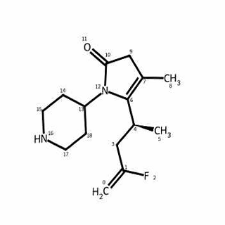 C=C(F)C[C@H](C)C1=C(C)CC(=O)N1C1CCNCC1